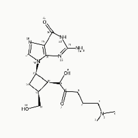 CN(C)CCCC(=O)C(O)[C@H]1[C@@H](CO)C[C@H]1n1cnc2c(=O)[nH]c(N)nc21